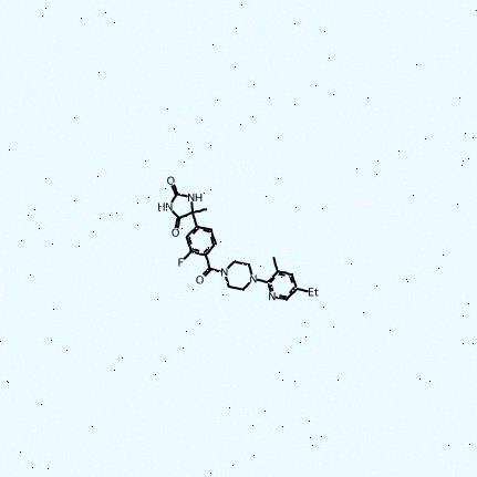 CCc1cnc(N2CCN(C(=O)c3ccc(C4(C)NC(=O)NC4=O)cc3F)CC2)c(C)c1